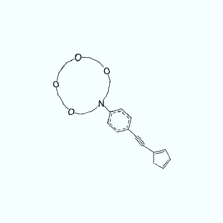 C(#Cc1ccc(N2CCOCCOCCOCCOCC2)cc1)C1=CC=CC1